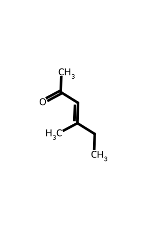 CC/C(C)=C/C(C)=O